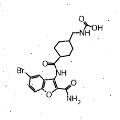 NC(=O)c1oc2ccc(Br)cc2c1NC(=O)C1CCC(CNC(=O)O)CC1